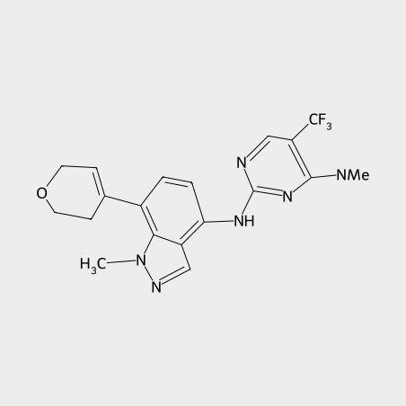 CNc1nc(Nc2ccc(C3=CCOCC3)c3c2cnn3C)ncc1C(F)(F)F